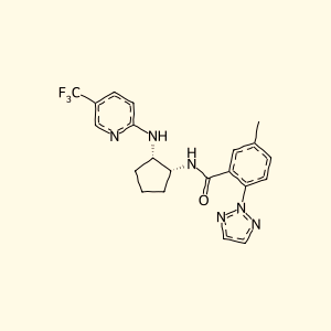 Cc1ccc(-n2nccn2)c(C(=O)N[C@@H]2CCC[C@@H]2Nc2ccc(C(F)(F)F)cn2)c1